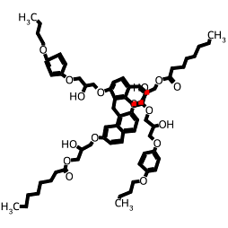 CCCCCCCC(=O)OCC(O)COc1ccc2ccc(OCC(O)COC(=O)CCCCCCC)c(Cc3c(OCC(O)COc4ccc(OCCCC)cc4)ccc4ccc(OCC(O)COc5ccc(OCCCC)cc5)cc34)c2c1